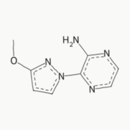 COc1ccn(-c2nccnc2N)n1